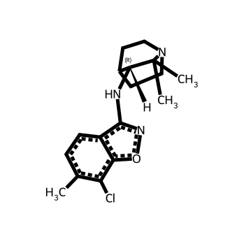 Cc1ccc2c(N[C@@H]3C4CCN(CC4)C3(C)C)noc2c1Cl